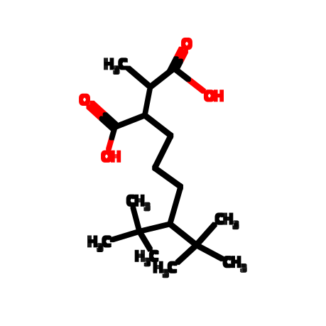 CC(C(=O)O)C(CCCC(C(C)(C)C)C(C)(C)C)C(=O)O